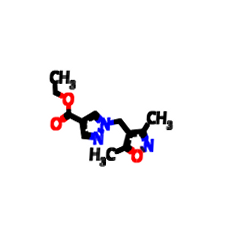 CCOC(=O)c1cnn(Cc2c(C)noc2C)c1